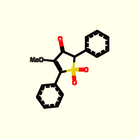 COC1=C(c2ccccc2)S(=O)(=O)C(c2ccccc2)C1=O